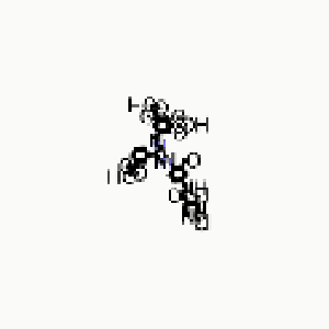 O=Cc1cc(NC(=O)c2cnc(Cl)nc2Cl)ccc1/N=N/C(/N=N/c1cc(S(=O)(=O)O)cc(S(=O)(=O)O)c1)c1cccc(S(=O)(=O)O)c1